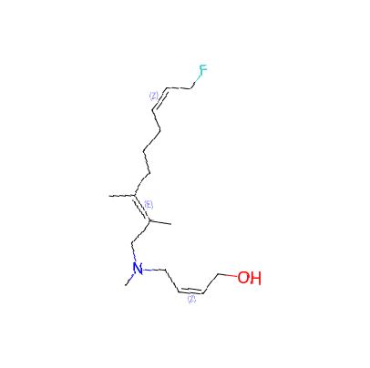 C/C(CCC/C=C\CF)=C(/C)CN(C)C/C=C\CO